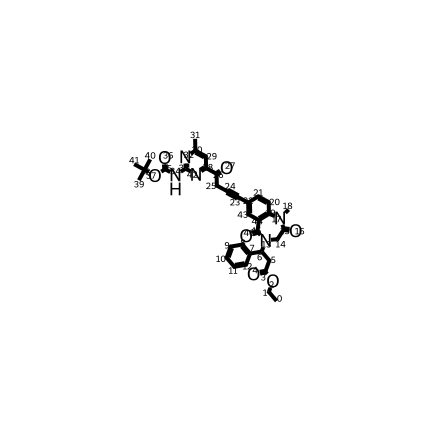 CCOC(=O)CC(c1ccccc1)N1CC(=O)N(C)c2ccc(C#CCC(=O)c3cc(C)nc(NC(=O)OC(C)(C)C)n3)cc2C1=O